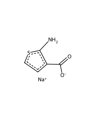 Nc1sccc1C(=O)[O-].[Na+]